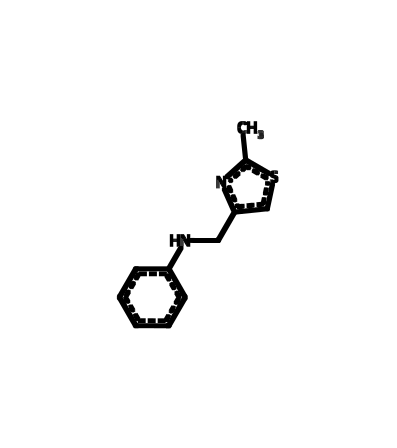 Cc1nc(CNc2ccccc2)cs1